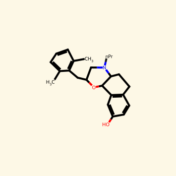 CCCN1CC(Cc2c(C)cccc2C)OC2c3cc(O)ccc3CCC21